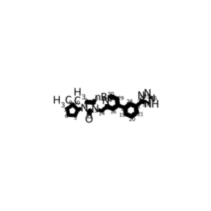 CCCCc1cn(C2CCCC2(C)C)c(=O)n1Cc1cc(-c2cccc(-c3nnn[nH]3)c2)ccn1